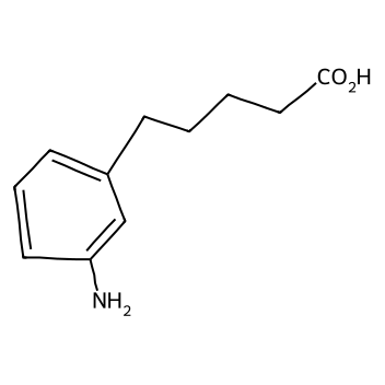 Nc1cccc(CCCCC(=O)O)c1